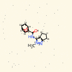 Cn1nc2c(c1NC(=O)c1cc3ccc1o3)CCC2